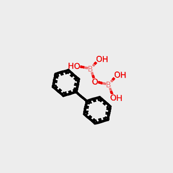 OB(O)OB(O)O.c1ccc(-c2ccccc2)cc1